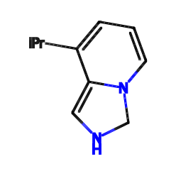 CC(C)C1=CC=CN2CNC=C12